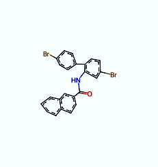 O=C(Nc1cc(Br)ccc1-c1ccc(Br)cc1)c1ccc2ccccc2c1